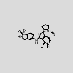 N#C[C@H]1CCC[C@@H]1n1nc(Nc2ccc3c(c2)CNS3(=O)=O)c2c(=O)[nH]ccc21